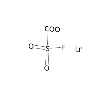 O=C([O-])S(=O)(=O)F.[Li+]